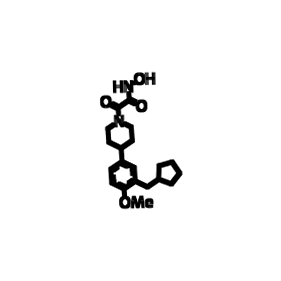 COc1ccc(C2CCN(C(=O)C(=O)NO)CC2)cc1CC1CCCC1